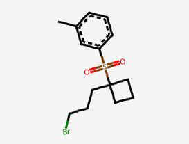 Cc1cccc(S(=O)(=O)C2(CCCBr)CCC2)c1